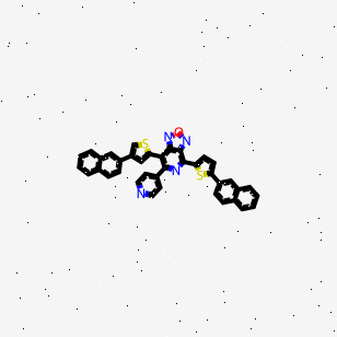 c1ccc2cc(-c3csc(-c4c(-c5ccncc5)nc(-c5ccc(-c6ccc7ccccc7c6)s5)c5nonc45)c3)ccc2c1